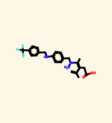 C=C(C)/C(CC(=O)O)=C(/C)N(N)Cc1ccc(NCc2ccc(C(F)(F)F)cc2)cc1